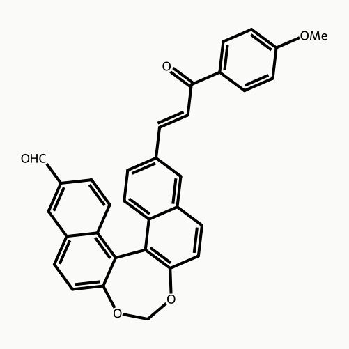 COc1ccc(C(=O)/C=C/c2ccc3c4c(ccc3c2)OCOc2ccc3cc(C=O)ccc3c2-4)cc1